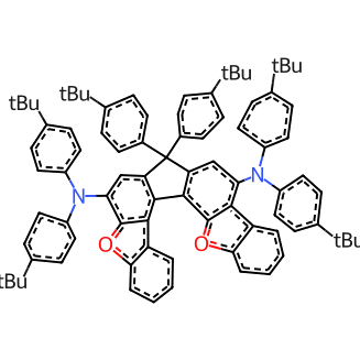 CC(C)(C)c1ccc(N(c2ccc(C(C)(C)C)cc2)c2cc3c(c4c2oc2ccccc24)-c2c(cc(N(c4ccc(C(C)(C)C)cc4)c4ccc(C(C)(C)C)cc4)c4c2oc2ccccc24)C3(c2ccc(C(C)(C)C)cc2)c2ccc(C(C)(C)C)cc2)cc1